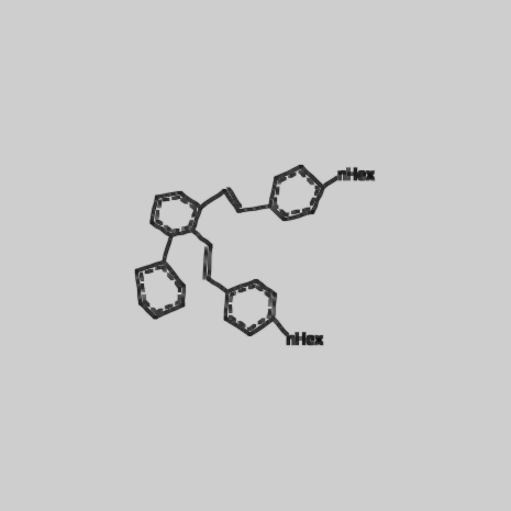 CCCCCCc1ccc(C=Cc2cccc(-c3ccccc3)c2C=Cc2ccc(CCCCCC)cc2)cc1